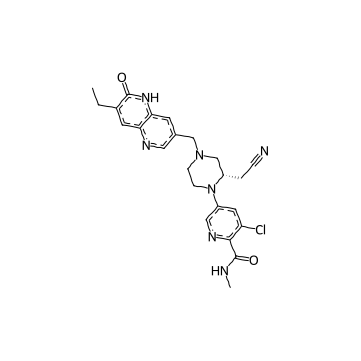 CCc1cc2ncc(CN3CCN(c4cnc(C(=O)NC)c(Cl)c4)[C@@H](CC#N)C3)cc2[nH]c1=O